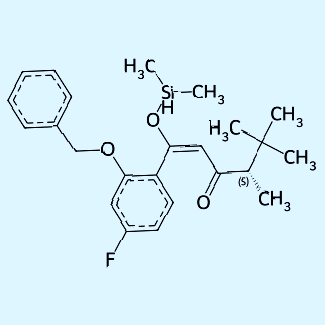 C[C@H](C(=O)C=C(O[SiH](C)C)c1ccc(F)cc1OCc1ccccc1)C(C)(C)C